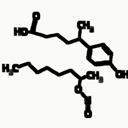 CC(CCCC(=O)O)c1ccc(O)cc1.CCCCCCC(C)ON=O